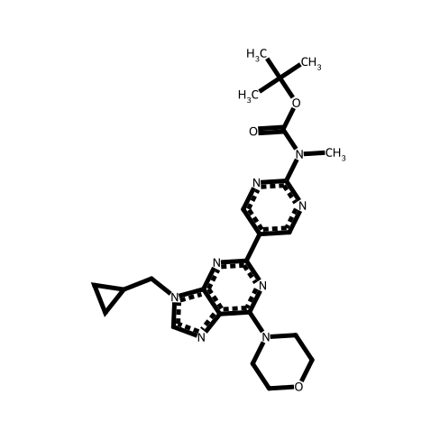 CN(C(=O)OC(C)(C)C)c1ncc(-c2nc(N3CCOCC3)c3ncn(CC4CC4)c3n2)cn1